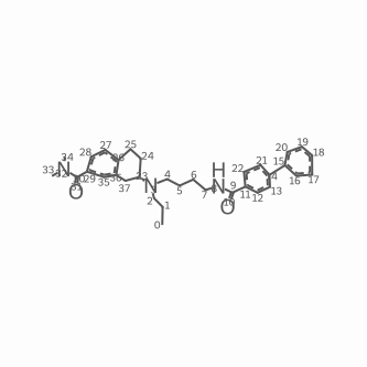 CCCN(CCCCNC(=O)c1ccc(-c2ccccc2)cc1)[C@@H]1CCc2ccc(C(=O)N(C)C)cc2C1